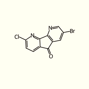 O=C1c2cc(Br)cnc2-c2nc(Cl)ccc21